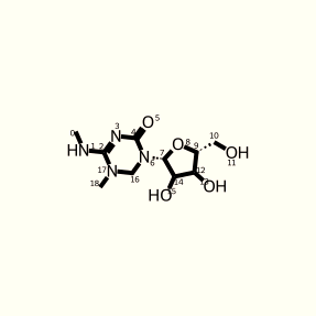 CNC1=NC(=O)N([C@@H]2O[C@H](CO)C(O)C2O)CN1C